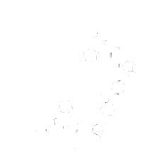 CC(C)OC(=O)N[C@@H](C(=O)N1CCC[C@H]1c1ncc(-c2cc3c4c(c2)OCc2cc(-c5cnc([C@@H]6CCCN6C(=O)[C@H](NC(=O)OC(C)C)c6ccccc6)[nH]5)cc(c2-4)OC3)[nH]1)c1ccccc1